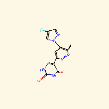 Cc1nnc(-c2c[nH]c(=O)[nH]c2=O)cc1-n1cc(F)cn1